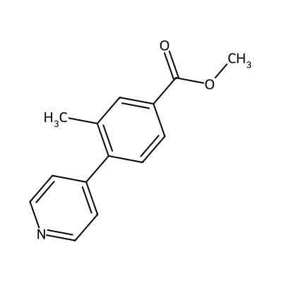 COC(=O)c1ccc(-c2ccncc2)c(C)c1